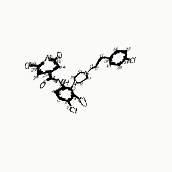 O=C(Nc1ccc(Cl)c(Cl)c1N1CCN(CC=Cc2ccc(Cl)cc2)CC1)c1cc(Cl)nc(Cl)c1